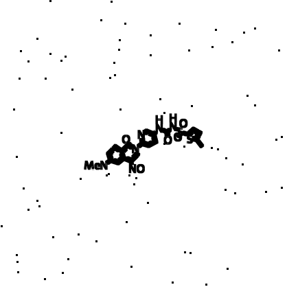 CNc1ccc2c(=O)n(-c3ccc(NC(=O)NS(=O)(=O)c4ccc(C)s4)cn3)cc(N=O)c2c1